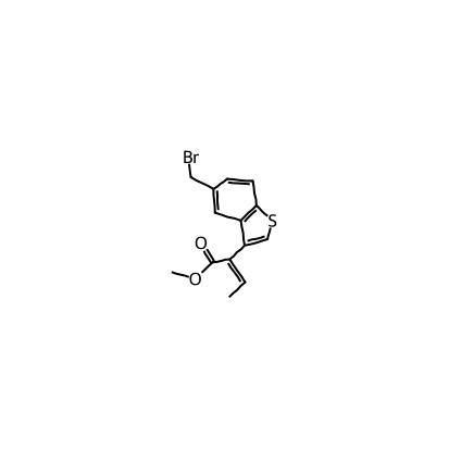 CC=C(C(=O)OC)c1csc2ccc(CBr)cc12